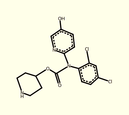 O=C(OC1CCNCC1)N(c1ccc(O)cn1)c1ccc(Cl)cc1Cl